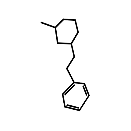 CC1CCCC(CCc2ccccc2)C1